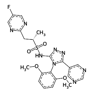 COc1cccc(OC)c1-n1c(NS(=O)(=O)[C@@H](C)Cc2ncc(F)cn2)nnc1-c1cncnc1